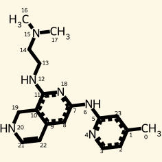 Cc1ccnc(Nc2cc3c(c(NCCN(C)C)n2)CNC=C3)c1